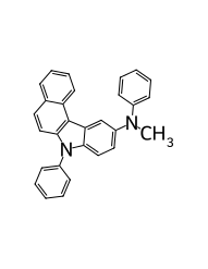 CN(c1ccccc1)c1ccc2c(c1)c1c3ccccc3ccc1n2-c1ccccc1